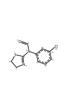 O=CN(C1=NCCS1)c1cccc(Cl)c1